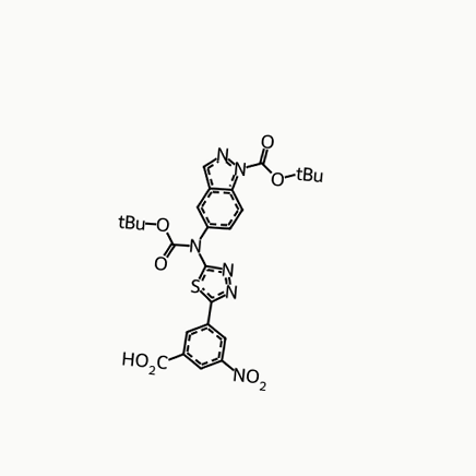 CC(C)(C)OC(=O)N(c1ccc2c(cnn2C(=O)OC(C)(C)C)c1)c1nnc(-c2cc(C(=O)O)cc([N+](=O)[O-])c2)s1